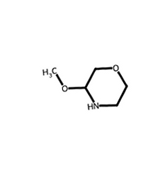 COC1COCCN1